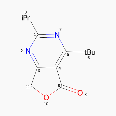 CC(C)c1nc2c(c(C(C)(C)C)n1)C(=O)OC2